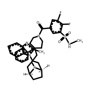 CNS(=O)(=O)c1cc(C(=O)N2CCC(CCN3[C@@H]4CC[C@H]3CC(n3c(C)nc5ccccc53)C4)(c3ccccc3)CC2)cc(F)c1F